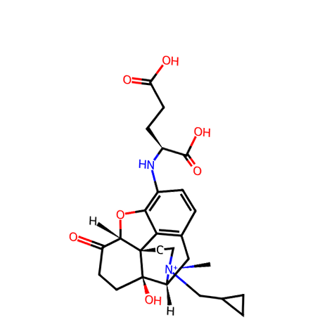 C[N@+]1(CC2CC2)CC[C@]23c4c5ccc(N[C@@H](CCC(=O)O)C(=O)O)c4O[C@H]2C(=O)CC[C@@]3(O)[C@H]1C5